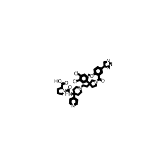 COc1ccc(C2C=NN=N2)cc1C(=O)N1CCC(CCN2CCC(NC(=O)N3CCCC3C(=O)O)(c3ccncc3)CC2)(c2ccc(Cl)c(Cl)c2)C1